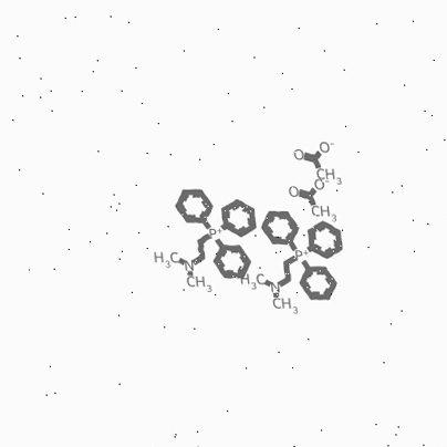 CC(=O)[O-].CC(=O)[O-].CN(C)CC[P+](c1ccccc1)(c1ccccc1)c1ccccc1.CN(C)CC[P+](c1ccccc1)(c1ccccc1)c1ccccc1